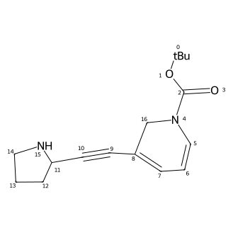 CC(C)(C)OC(=O)N1C=CC=C(C#CC2CCCN2)C1